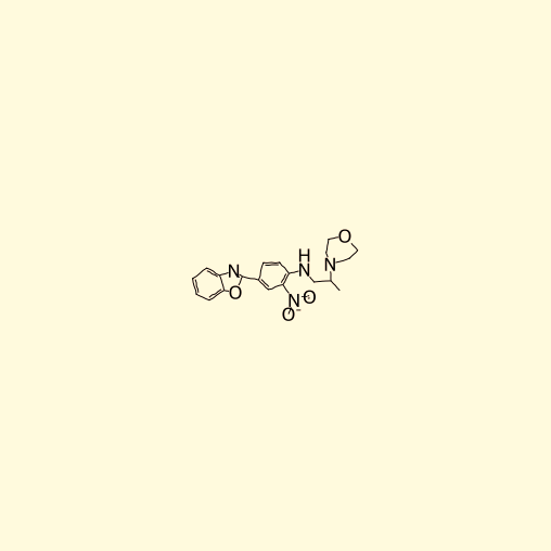 CC(CNc1ccc(-c2nc3ccccc3o2)cc1[N+](=O)[O-])N1CCOCC1